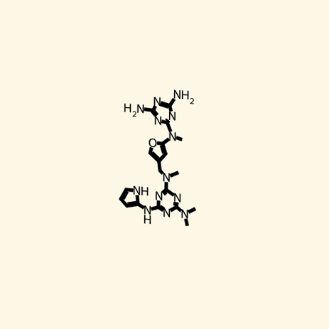 CN(C)c1nc(Nc2ccc[nH]2)nc(N(C)Cc2coc(N(C)c3nc(N)nc(N)n3)c2)n1